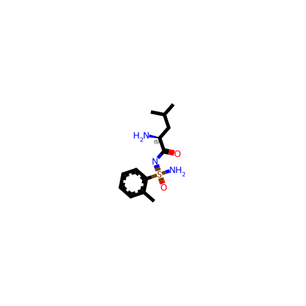 Cc1ccccc1S(N)(=O)=NC(=O)[C@@H](N)CC(C)C